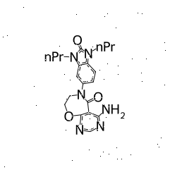 CCCn1c(=O)n(CCC)c2cc(N3CCOc4ncnc(N)c4C3=O)ccc21